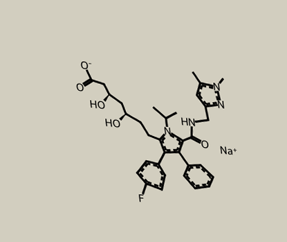 Cc1cc(CNC(=O)c2c(-c3ccccc3)c(-c3ccc(F)cc3)c(CC[C@@H](O)C[C@@H](O)CC(=O)[O-])n2C(C)C)nn1C.[Na+]